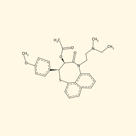 CCN(C)CCN1C(=O)[C@H](OC(C)=O)[C@H](c2ccc(OC)cc2)Sc2cccc3cccc1c23